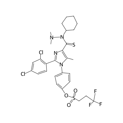 Cc1c(C(=S)N(C2CCCCC2)N(C)C)nc(-c2ccc(Cl)cc2Cl)n1-c1ccc(OS(=O)(=O)CCC(F)(F)F)cc1